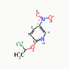 CC(Cl)Oc1ccc([N+](=O)[O-])cn1